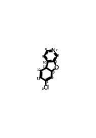 ClC1=CC2Oc3cnccc3C2C=C1